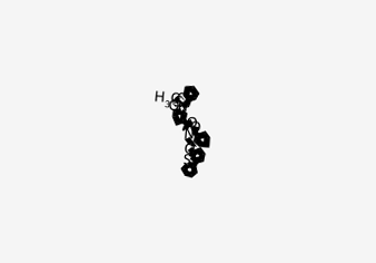 CS(=O)(=O)N(Cc1ccccc1)c1cccc(C(=O)CN(CCOc2cccc3c4c(sc23)CCCC4)C(=O)c2ccccc2)c1